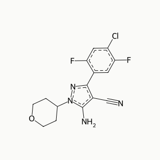 N#Cc1c(-c2cc(F)c(Cl)cc2F)nn(C2CCOCC2)c1N